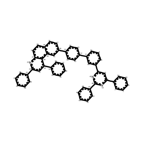 c1ccc(-c2cc(-c3cccc(-c4ccc(-c5ccc6ccc7nc(-c8ccccc8)cc(-c8ccccc8)c7c6c5)cc4)c3)nc(-c3ccccc3)n2)cc1